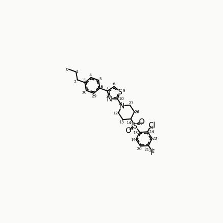 CCCc1ccc(-c2csc(N3CCC(S(=O)(=O)c4ccc(F)cc4Cl)CC3)n2)cc1